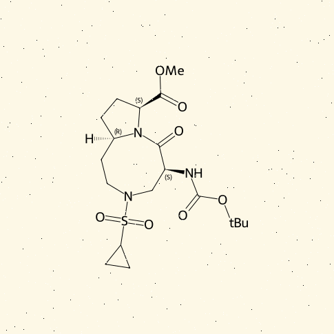 COC(=O)[C@@H]1CC[C@@H]2CCN(S(=O)(=O)C3CC3)C[C@H](NC(=O)OC(C)(C)C)C(=O)N21